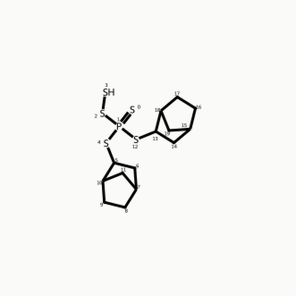 S=P(SS)(SC1CC2CCC1C2)SC1CC2CCC1C2